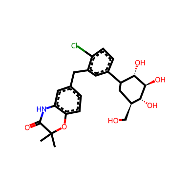 CC1(C)Oc2ccc(Cc3cc(C4C[C@H](CO)[C@@H](O)[C@H](O)[C@H]4O)ccc3Cl)cc2NC1=O